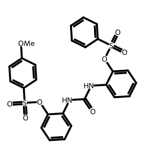 COc1ccc(S(=O)(=O)Oc2ccccc2NC(=O)Nc2ccccc2OS(=O)(=O)c2ccccc2)cc1